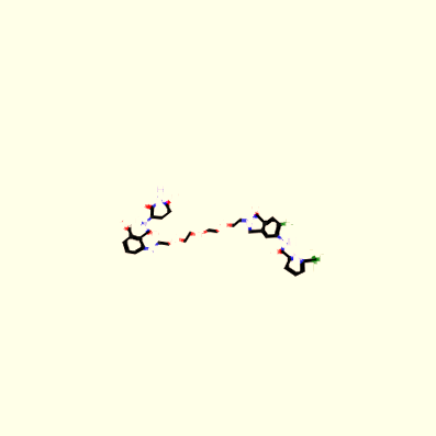 CN(C(=O)c1c(C=O)cccc1NCCOCCOCCOCCN1Cc2cc(NC(=O)c3cccc(C(F)(F)F)n3)c(Br)cc2C1=O)C1CCC(=O)NC1=O